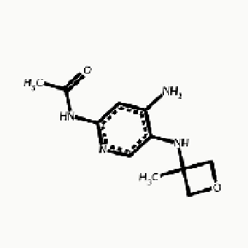 CC(=O)Nc1cc(N)c(NC2(C)COC2)cn1